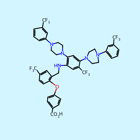 O=C(O)c1ccc(Oc2ccc(C(F)(F)F)cc2CNc2cc(C(F)(F)F)c(N3CCN(c4cccc(C(F)(F)F)c4)CC3)cc2N2CCN(c3cccc(C(F)(F)F)c3)CC2)cc1